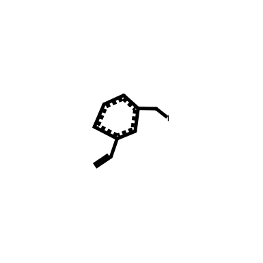 C=Cc1cccc(CI)c1